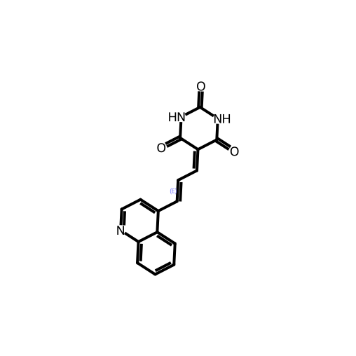 O=C1NC(=O)C(=C/C=C/c2ccnc3ccccc23)C(=O)N1